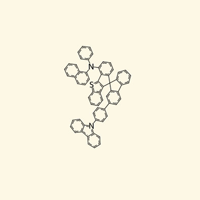 c1ccc(N(c2cccc3c2-c2sc4ccccc4c2C32c3ccccc3-c3ccc(-c4ccc(-n5c6ccccc6c6ccccc65)cc4)cc32)c2cccc3ccccc23)cc1